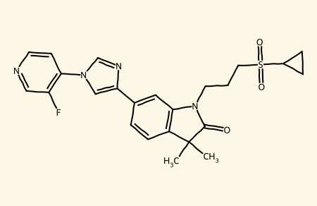 CC1(C)C(=O)N(CCCS(=O)(=O)C2CC2)c2cc(-c3cn(-c4ccncc4F)cn3)ccc21